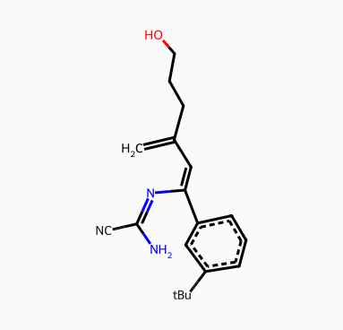 C=C(/C=C(\N=C(/N)C#N)c1cccc(C(C)(C)C)c1)CCCO